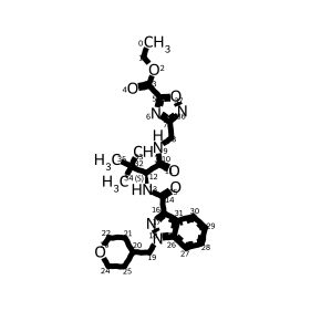 CCOC(=O)c1nc(CNC(=O)[C@@H](NC(=O)c2nn(CC3CCOCC3)c3ccccc23)C(C)(C)C)no1